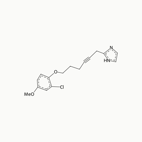 COc1ccc(OCCCC#CCc2ncc[nH]2)c(Cl)c1